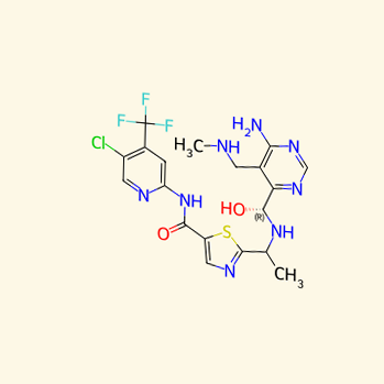 CNCc1c(N)ncnc1[C@@H](O)NC(C)c1ncc(C(=O)Nc2cc(C(F)(F)F)c(Cl)cn2)s1